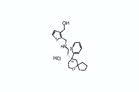 Cl.OCc1ccsc1CNCC[C@@]1(c2ccccn2)CCOC2(CCCC2)C1